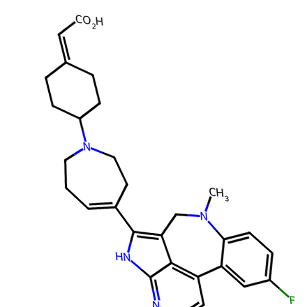 CN1Cc2c(C3=CCCN(C4CCC(=CC(=O)O)CC4)CC3)[nH]c3nccc(c23)-c2cc(F)ccc21